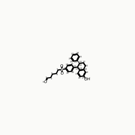 O=CCCCCS(=O)(=O)c1ccc(C2c3ccc(O)cc3CC[C@@H]2c2ccccc2)cc1